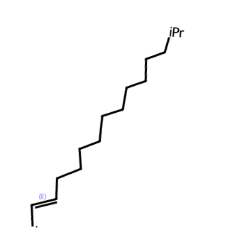 [CH2]/C=C/CCCCCCCCCCC(C)C